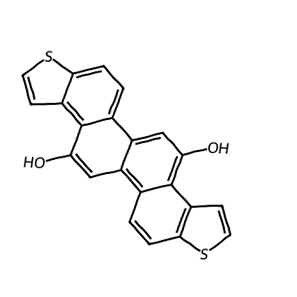 Oc1cc2c(cc(O)c3c4ccsc4ccc23)c2ccc3sccc3c12